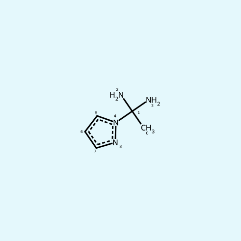 CC(N)(N)n1cccn1